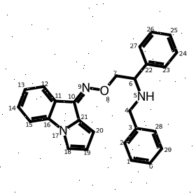 c1ccc(CNC(CON=C2c3ccccc3-n3cccc32)c2ccccc2)cc1